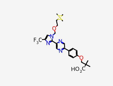 CC(C)(COc1ccc(-c2cnc(-c3nc(C(F)(F)F)cn3COCCS(C)(C)C)cn2)cc1)C(=O)O